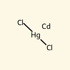 [Cd].[Cl][Hg][Cl]